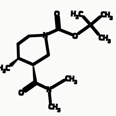 C[C@@H]1CCN(C(=O)OC(C)(C)C)C[C@@H]1C(=O)N(C)C